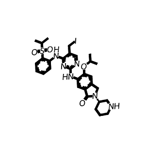 CC(C)Oc1cc2c(cc1Nc1ncc(CI)c(Nc3ccccc3S(=O)(=O)C(C)C)n1)C(=O)N([C@@H]1CCCNC1)C2